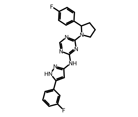 Fc1ccc(C2CCCN2c2ncnc(Nc3cc(-c4cccc(F)c4)[nH]n3)n2)cc1